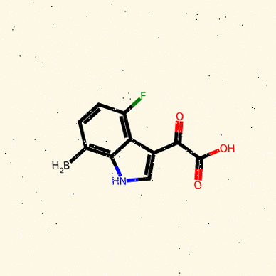 Bc1ccc(F)c2c(C(=O)C(=O)O)c[nH]c12